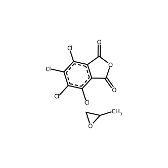 CC1CO1.O=C1OC(=O)c2c(Cl)c(Cl)c(Cl)c(Cl)c21